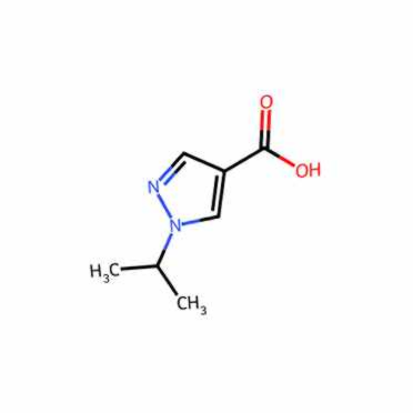 CC(C)n1cc(C(=O)O)cn1